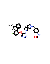 CC(C)c1ccccc1-c1cc(F)ccc1Oc1cncnc1N1CCC2(CCN(C[C@H]3CC[C@H](NC(=O)O)CC3)C2)C1